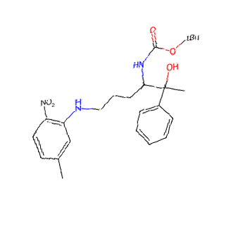 Cc1ccc([N+](=O)[O-])c(NCCCC(NC(=O)OC(C)(C)C)C(C)(O)c2ccccc2)c1